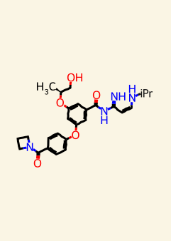 CC(C)N/C=C\C(=N)NC(=O)c1cc(Oc2ccc(C(=O)N3CCC3)cc2)cc(O[C@@H](C)CO)c1